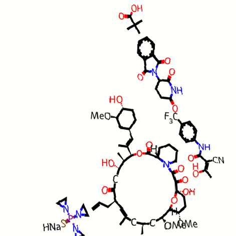 C/C(O)=C(\C#N)C(=O)Nc1ccc(C(F)(F)F)cc1.C=CC[C@@H]1/C=C(\C)C[C@H](C)C[C@H](OC)[C@H]2O[C@@](O)(C(=O)C(=O)N3CCCC[C@H]3C(=O)O[C@H](/C(C)=C/[C@@H]3CC[C@@H](O)[C@H](OC)C3)[C@H](C)[C@@H](O)CC1=O)[C@H](C)C[C@@H]2OC.CC(C)(C)C(=O)O.O=C1CCC(N2C(=O)c3ccccc3C2=O)C(=O)N1.S=P(N1CC1)(N1CC1)N1CC1.[NaH]